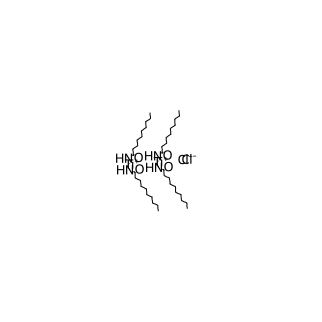 CCCCCCCCCC(=O)[NH][Ti+][NH]C(=O)CCCCCCCCC.CCCCCCCCCC(=O)[NH][Ti+][NH]C(=O)CCCCCCCCC.[Cl-].[Cl-]